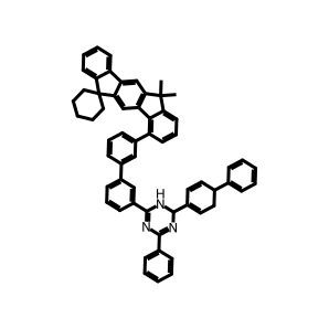 CC1(C)c2cc3c(cc2-c2c(-c4cccc(-c5cccc(C6=NC(c7ccccc7)=NC(C7=CCC(c8ccccc8)C=C7)N6)c5)c4)cccc21)C1(CCCCC1)c1ccccc1-3